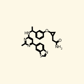 Cc1nc(NC(C)c2cccc(OC3CC3CC(N)=O)c2)cc(-c2ccc3ncsc3c2)n1